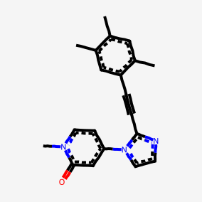 Cc1cc(C)c(C#Cc2nccn2-c2ccn(C)c(=O)c2)cc1C